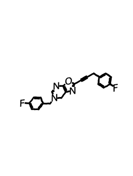 Fc1ccc(CC#Cc2nc3c(o2)N=CN(Cc2ccc(F)cc2)C3)cc1